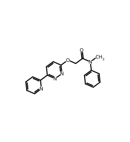 CN(C(=O)COc1ccc(-c2ccccn2)nn1)c1ccccc1